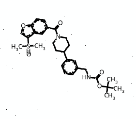 CC(C)(C)OC(=O)NCc1cccc(C2CCN(C(=O)c3ccc4occ([SH](C)(C)=O)c4c3)CC2)c1